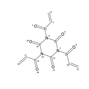 C=CC(=O)n1c(=O)n(C(=O)C=C)c(=O)n(C(=O)C=C)c1=O